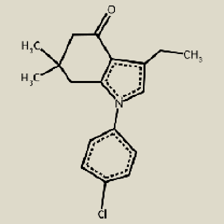 CCc1cn(-c2ccc(Cl)cc2)c2c1C(=O)CC(C)(C)C2